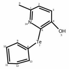 Cc1ccc(O)c([Te]c2ccccc2)n1